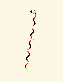 COCCOCCOCCOCCOCF